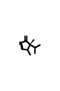 CC(C)[C@]1(C)NN=CC1C